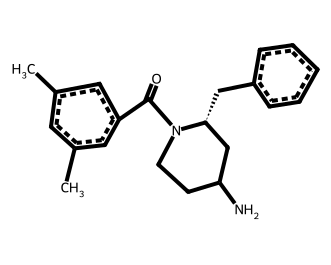 Cc1cc(C)cc(C(=O)N2CCC(N)C[C@H]2Cc2ccccc2)c1